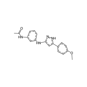 COc1ccc(-c2cc(Nc3cccc(NC(C)=O)c3)n[nH]2)cc1